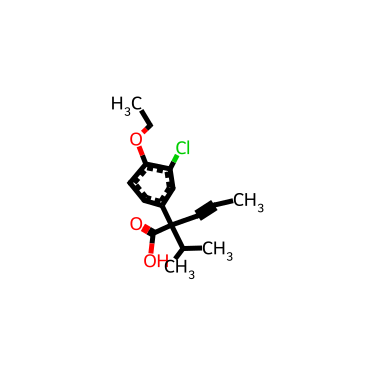 CC#CC(C(=O)O)(c1ccc(OCC)c(Cl)c1)C(C)C